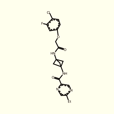 CCc1cnc(C(=O)NC23CC(NC(=O)COc4ccc(Cl)c(F)c4)(C2)C3)cn1